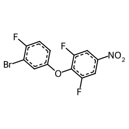 O=[N+]([O-])c1cc(F)c(Oc2ccc(F)c(Br)c2)c(F)c1